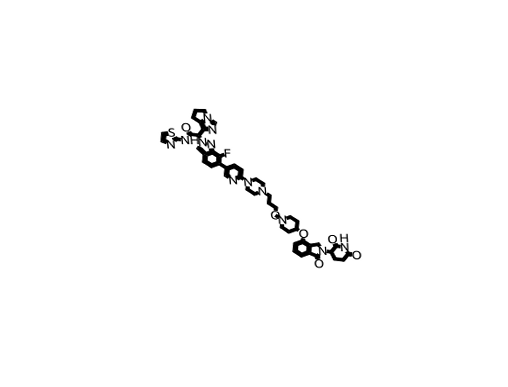 O=C1CCC(N2Cc3c(OC4CCN(OCCCN5CCN(c6ccc(-c7ccc8cn(C(C(=O)Nc9nccs9)c9ncn%10c9CCC%10)nc8c7F)cn6)CC5)CC4)cccc3C2=O)C(=O)N1